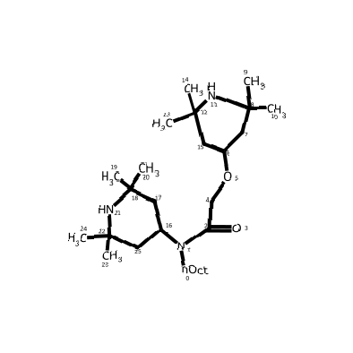 CCCCCCCCN(C(=O)COC1CC(C)(C)NC(C)(C)C1)C1CC(C)(C)NC(C)(C)C1